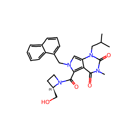 CC(C)Cn1c(=O)n(C)c(=O)c2c(C(=O)N3CC[C@@H]3CO)n(Cc3cccc4ccccc34)cc21